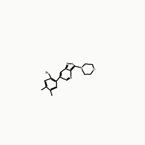 Cc1cc(Br)c(-c2cnc3c(N4CCOCC4)snc3c2)cc1C